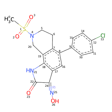 CS(=O)(=O)N1CCc2c(-c3ccc(Cl)cc3)cc3c(c2C1)NC(=O)/C3=N\O